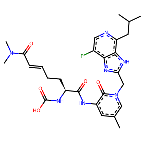 Cc1cc(NC(=O)[C@H](CC/C=C/C(=O)N(C)C)NC(=O)O)c(=O)n(Cc2nc3c(F)cnc(CC(C)C)c3[nH]2)c1